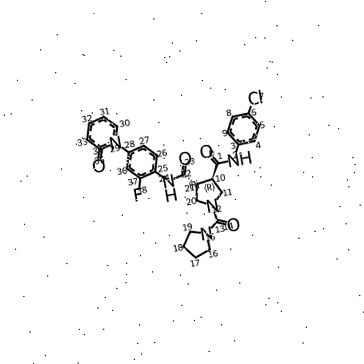 O=C(Nc1ccc(Cl)cc1)[C@H]1CN(C(=O)N2CCCC2)C[C@@H]1C(=O)Nc1ccc(-n2ccccc2=O)cc1F